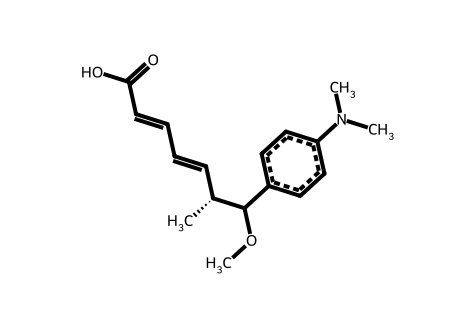 COC(c1ccc(N(C)C)cc1)[C@H](C)C=CC=CC(=O)O